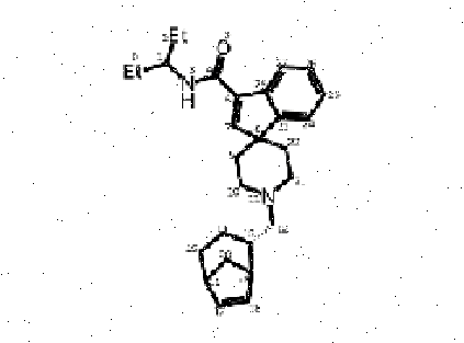 CCC(CC)NC(=O)C1=CC2(CCN(C[C@H]3CCC4C=CC3C4)CC2)c2ccccc21